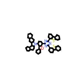 c1ccc2cc3c(cc2c1)c1c2ccccc2ccc1n3-c1ccc(-c2nc(-c3cccc4c3sc3ccccc34)nc(-c3cccc4c3sc3ccccc34)n2)c2oc3ccccc3c12